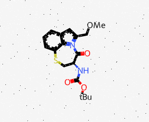 COCc1cc2cccc3c2n1C(=O)[C@@H](NC(=O)OC(C)(C)C)CS3